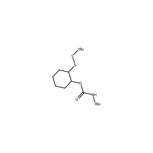 CC(C)(C)NC(=O)OC1CCCCC1SSC(C)(C)C